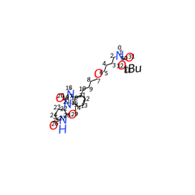 CN(CCCCOCCCCc1cccc2c1n(C)c(=O)n2C1CCC(=O)NC1=O)C(=O)OC(C)(C)C